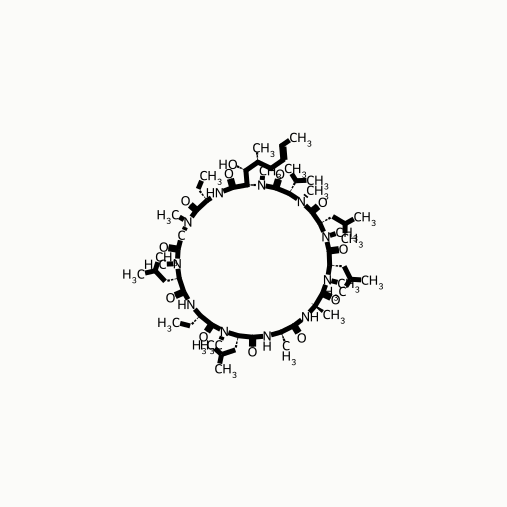 C/C=C/C[C@@H](C)[C@@H](O)[C@H]1C(=O)N[C@@H](CC)C(=O)N(C)CC(=O)N(C)[C@@H](CC(C)C)C(=O)N[C@@H](CC)C(=O)N(C)[C@@H](CC(C)C)C(=O)N[C@@H](C)C(=O)N[C@H](C)C(=O)N(C)[C@@H](CC(C)C)C(=O)N(C)[C@@H](CC(C)C)C(=O)N(C)[C@@H](C(C)C)C(=O)N1C